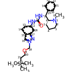 CN1CCCC[C@@H]1[C@H](NC(=O)Nc1ccc2cn(COCC[Si](C)(C)C)nc2c1)c1ccccc1